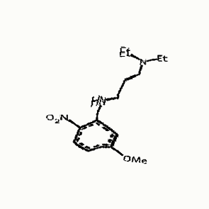 CCN(CC)CCCNc1cc(OC)ccc1[N+](=O)[O-]